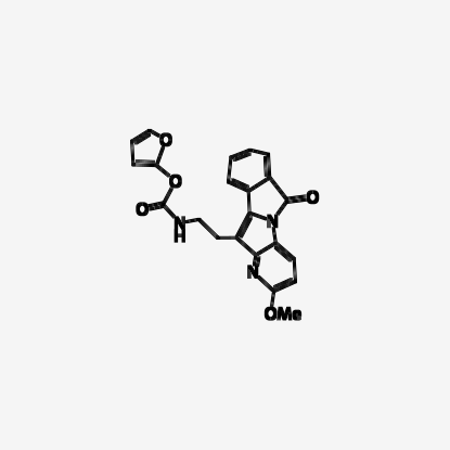 COc1ccc2c(n1)c(CCNC(=O)Oc1ccco1)c1n2C(=O)c2ccccc2-1